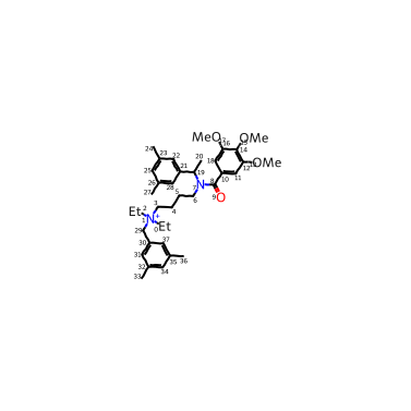 CC[N+](CC)(CCCCN(C(=O)c1cc(OC)c(OC)c(OC)c1)C(C)c1cc(C)cc(C)c1)Cc1cc(C)cc(C)c1